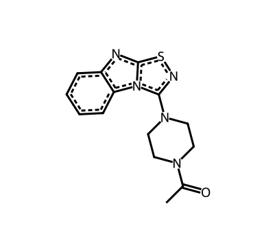 CC(=O)N1CCN(c2nsc3nc4ccccc4n23)CC1